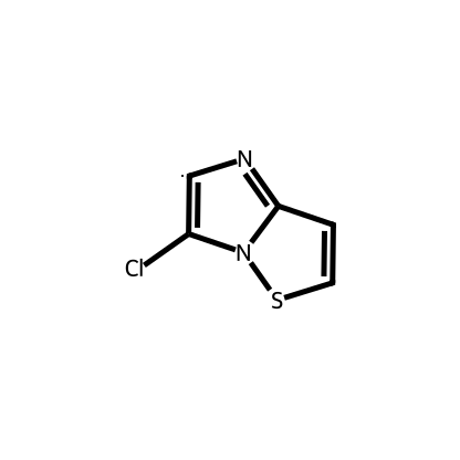 Clc1[c]nc2ccsn12